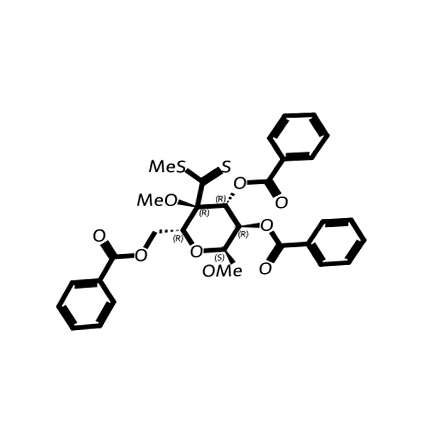 CO[C@H]1O[C@H](COC(=O)c2ccccc2)[C@](OC)(C(=S)SC)[C@H](OC(=O)c2ccccc2)[C@H]1OC(=O)c1ccccc1